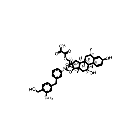 C[C@]12C=CC(O)C=C1[C@@H](F)C[C@H]1[C@@H]3C[C@H]4O[C@@H](c5cccc(Cc6ccc(CO)c(N)c6)c5)O[C@@]4(C(=O)COC(=O)C(=O)O)[C@@]3(C)C[C@H](O)[C@@]12F